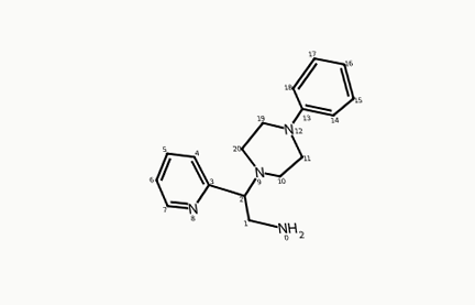 NCC(c1ccccn1)N1CCN(c2ccccc2)CC1